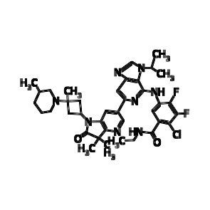 CCNC(=O)c1cc(Nc2nc(-c3cnc4c(c3)N(C3CC(C)(N5CCCC(C)C5)C3)C(=O)C4(C)C)cc3ncn(C(C)C)c23)c(F)c(F)c1Cl